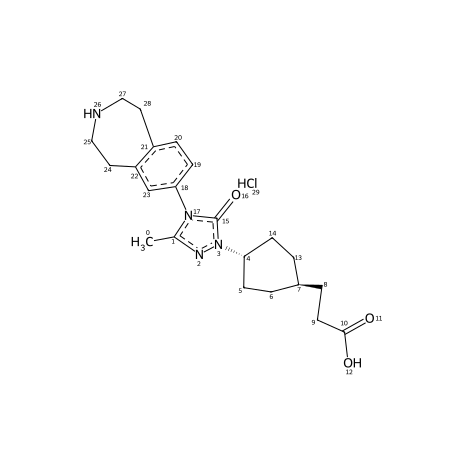 Cc1nn([C@H]2CC[C@H](CCC(=O)O)CC2)c(=O)n1-c1ccc2c(c1)CCNCC2.Cl